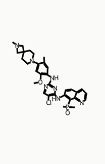 COc1cc(N2CCC3(CC2)CN(C)C3)c(C)cc1Nc1ncc(Cl)c(Nc2ccc3cccnc3c2P(C)(C)=O)n1